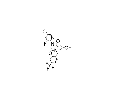 O=C1CN(c2ncc(Cl)cc2F)C(=O)C2(CC(O)C2)N1Cc1ccc(C(F)(F)F)cc1